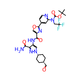 CC(C)(C)OC(=O)N(CC(F)(F)F)c1cc(-c2nc(C(=O)Nc3cn([C@H]4CC[C@H](C=O)CC4)nc3C(N)=O)co2)ccn1